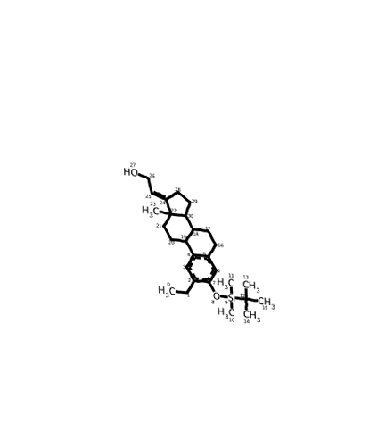 CCc1cc2c(cc1O[Si](C)(C)C(C)(C)C)CCC1C2CCC2(C)/C(=C/CO)CCC12